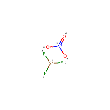 F[S+](F)F.O=[N+]([O-])[O-]